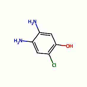 Nc1cc(O)c(Cl)cc1N